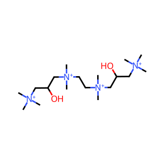 C[N+](C)(C)CC(O)C[N+](C)(C)CC[N+](C)(C)CC(O)C[N+](C)(C)C